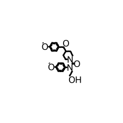 COc1ccc(C(=O)C2CCN(C(=O)N(CCO)c3ccc(OC)cc3)CC2)cc1